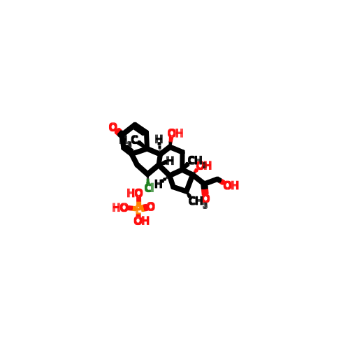 C[C@@H]1C[C@H]2[C@H]3[C@H]([C@@H](O)C[C@]2(C)[C@@]1(O)C(=O)CO)[C@@]1(C)C=CC(=O)C=C1C[C@H]3Cl.O=P(O)(O)O